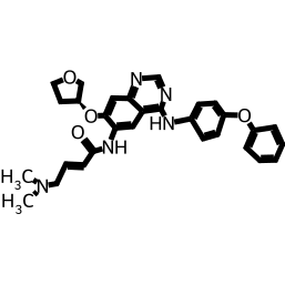 CN(C)C/C=C/C(=O)Nc1cc2c(Nc3ccc(Oc4ccccc4)cc3)ncnc2cc1O[C@H]1CCOC1